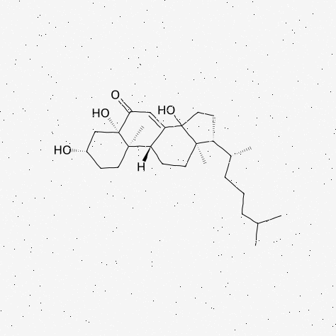 CC(C)CCC[C@@H](C)[C@H]1CCC2(O)C3=CC(=O)[C@]4(O)C[C@@H](O)CC[C@]4(C)[C@H]3CC[C@]12C